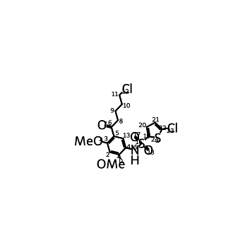 COc1cc(OC)c(C(=O)CCCCCl)cc1NS(=O)(=O)c1ccc(Cl)s1